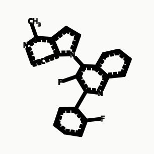 Cc1nccc2c1ccn2-c1c(F)c(-c2ccccc2F)nc2ccccc12